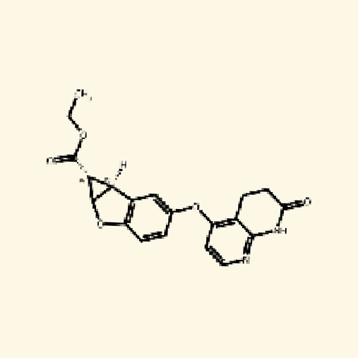 CCOC(=O)[C@H]1C2Oc3ccc(Oc4ccnc5c4CCC(=O)N5)cc3[C@@H]21